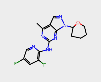 Cc1nc(Nc2ncc(F)cc2F)nc2c1cnn2C1CCCCO1